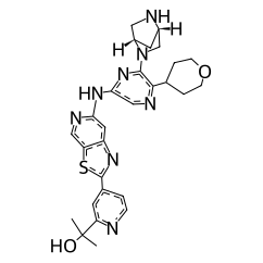 CC(C)(O)c1cc(-c2nc3cc(Nc4cnc(C5CCOCC5)c(N5C[C@@H]6C[C@H]5CN6)n4)ncc3s2)ccn1